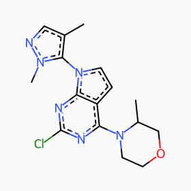 Cc1cnn(C)c1-n1ccc2c(N3CCOCC3C)nc(Cl)nc21